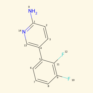 Nc1ccc(-c2cccc(F)c2F)cn1